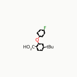 CC(C)(C)c1ccc(C(=O)O)c(Oc2ccc(F)cc2)c1